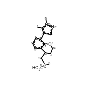 Cc1c(-c2cccc3c2OCCC3CN(C)C(=O)O)cnn1C